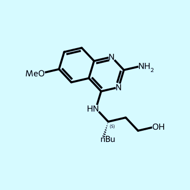 CCCC[C@@H](CCO)Nc1nc(N)nc2ccc(OC)cc12